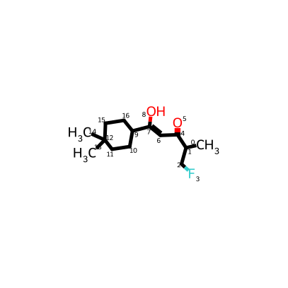 CC(CF)C(=O)/C=C(\O)C1CCC(C)(C)CC1